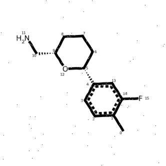 Cc1ccc([C@H]2CCC[C@@H](CN)O2)cc1F